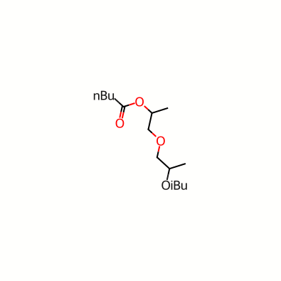 CCCCC(=O)OC(C)COCC(C)OCC(C)C